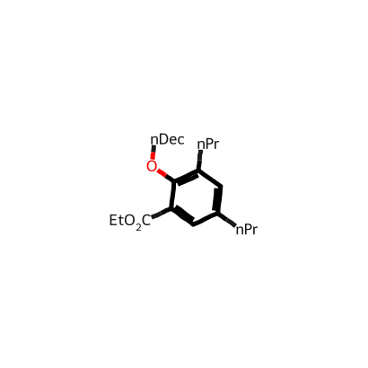 CCCCCCCCCCOc1c(CCC)cc(CCC)cc1C(=O)OCC